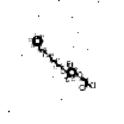 CCc1cc(OCC=C(Cl)Cl)cc(C)c1OCCCCCO/N=C/c1ccccc1